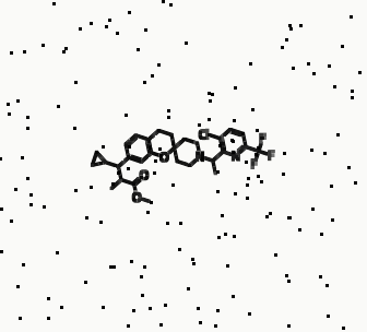 COC(=O)C(C)C(c1ccc2c(c1)OC1(CC2)CCN(C(C)c2nc(C(F)(F)F)ccc2Cl)CC1)C1CC1